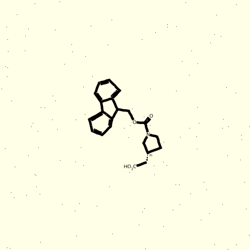 O=C(O)C[C@H]1CCN(C(=O)OCC2c3ccccc3-c3ccccc32)C1